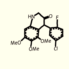 COc1cc2c(c(OC)c1OC)C(c1cc(Cl)ccc1F)C(=O)CN2